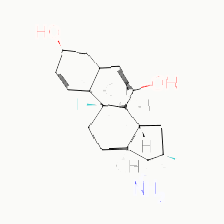 C[C@]12CC[C@@]3(F)[C@@H](C(O)=CC4C[C@H](O)C=C[C@@]43C)[C@@H]1C[C@@H](F)[C@@H]2N